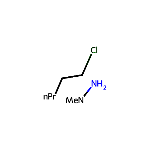 CCCCCCl.CNN